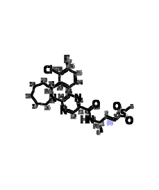 C[C@H](/C=C/S(C)(=O)=O)NC(=O)c1cnc(N2CCCCC[C@H]2c2cccc(F)c2Cl)cn1